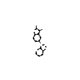 Cc1oc2ccc(-n3nnc4cccnc43)cc2c1C